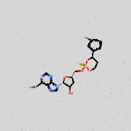 CC(=O)Nc1ncnc2c1ncn2[C@@H]1O[C@H](COP2(=S)OCCC(c3cccc(Cl)c3)O2)CC1O